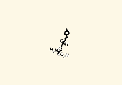 Cc1ccc(CCCC(=O)NCCOCC(N)C(=O)O)cc1